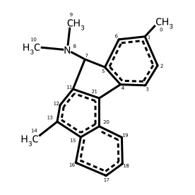 Cc1ccc2c(c1)C(N(C)C)c1cc(C)c3ccccc3c1-2